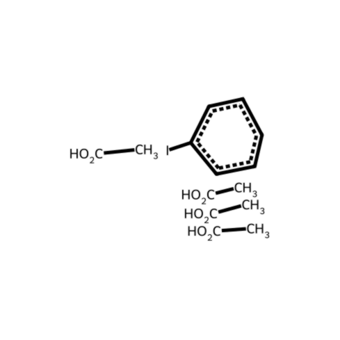 CC(=O)O.CC(=O)O.CC(=O)O.CC(=O)O.Ic1ccccc1